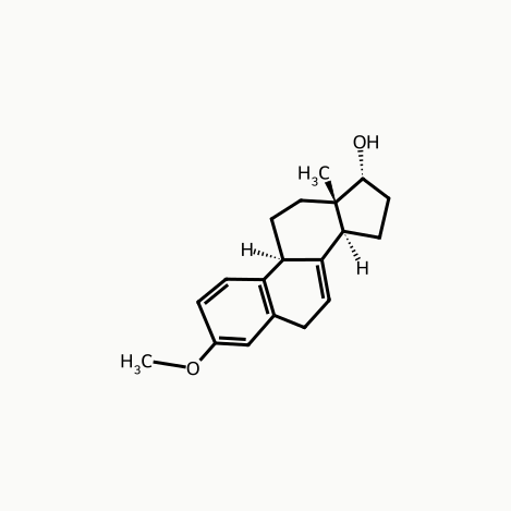 COc1ccc2c(c1)CC=C1[C@@H]2CC[C@]2(C)[C@H](O)CC[C@@H]12